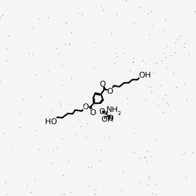 NS(=O)(=O)O.O=C(OCCCCCCO)c1ccc(C(=O)OCCCCCCO)cc1